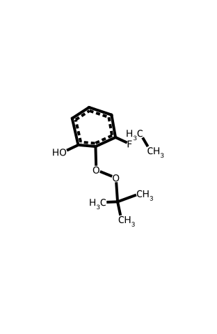 CC.CC(C)(C)OOc1c(O)cccc1F